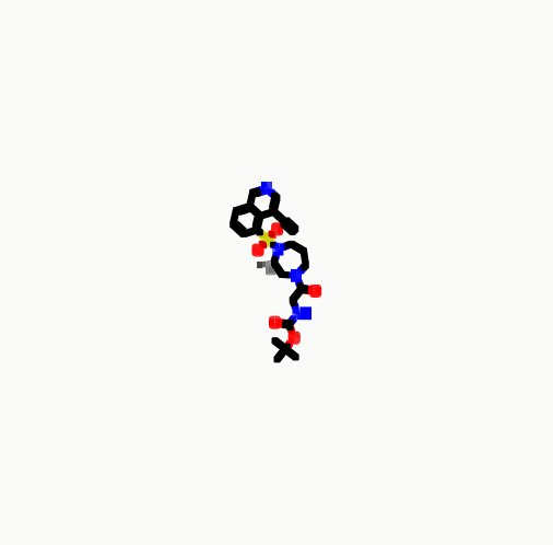 C#Cc1cncc2cccc(S(=O)(=O)N3CCCN(C(=O)CNC(=O)OC(C)(C)C)C[C@@H]3C)c12